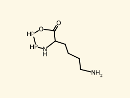 NCCCCC1NPPOC1=O